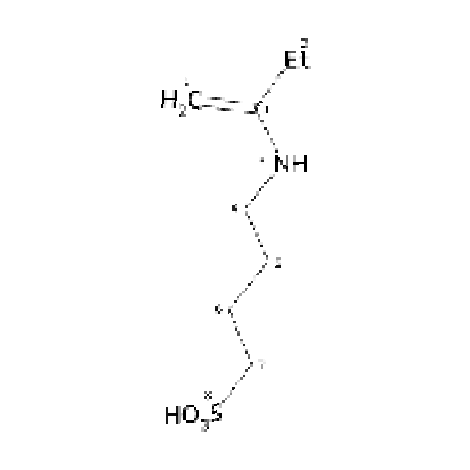 C=C(CC)NCCCCS(=O)(=O)O